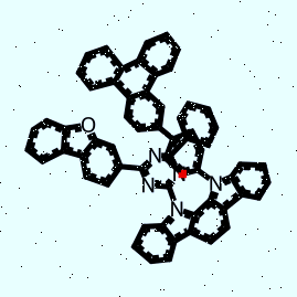 c1ccc(-c2nc(-c3ccc4c(c3)oc3ccccc34)nc(-n3c4ccccc4c4ccc5c6ccccc6n(-c6ccc(-c7ccc8c9ccccc9c9ccccc9c8c7)cc6)c5c43)n2)cc1